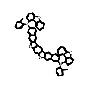 Cc1ccccc1N(c1ccc2cc3c(cc2c1)oc1cc2oc4cc5cc(N(c6ccccc6C)c6cccc7oc8ccccc8c67)ccc5cc4c2cc13)c1cccc2oc3ccccc3c12